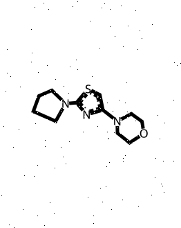 c1sc(N2CCCC2)nc1N1CCOCC1